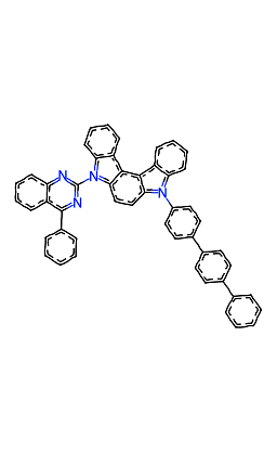 c1ccc(-c2ccc(-c3ccc(-n4c5ccccc5c5c6c7ccccc7n(-c7nc(-c8ccccc8)c8ccccc8n7)c6ccc54)cc3)cc2)cc1